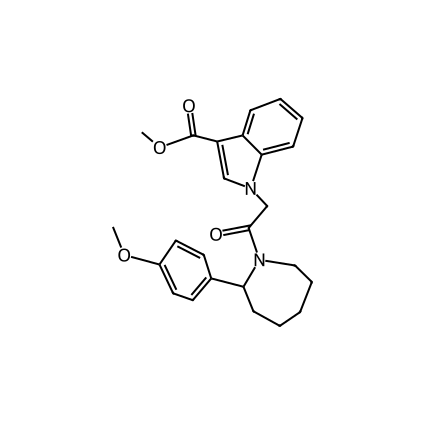 COC(=O)c1cn(CC(=O)N2CCCCCC2c2ccc(OC)cc2)c2ccccc12